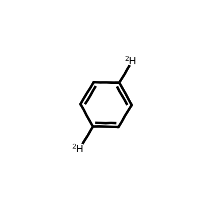 [2H]c1ccc([2H])cc1